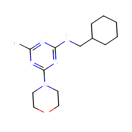 N#Cc1nc(NCC2CCCCC2)nc(N2CCOCC2)n1